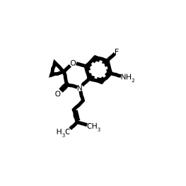 CC(C)=CCN1C(=O)C2(CC2)Oc2cc(F)c(N)cc21